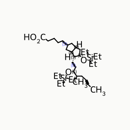 CC#CCC(C)[C@@H](/C=C/[C@@H]1[C@H]2C/C(=C\CCCC(=O)O)C[C@H]2C[C@H]1O[Si](CC)(CC)CC)O[Si](CC)(CC)CC